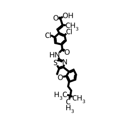 C/C(=C\c1c(Cl)cc(C(=O)Nc2nc3c(s2)COc2c(CCC(C)(C)C)cccc2-3)cc1Cl)C(=O)O